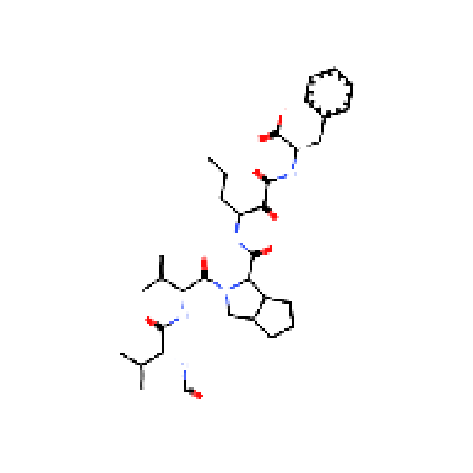 CCCC(NC(=O)C1[C@H]2CCC[C@H]2CN1C(=O)[C@@H](NC(=O)[C@H](NC=O)C(C)C)C(C)C)C(=O)C(=O)N[C@H](Cc1ccccc1)C(=O)O